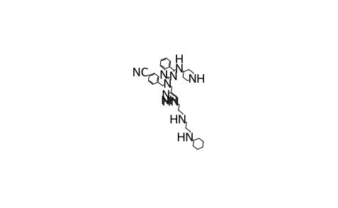 N#Cc1ccc(CN(C/C(=C/NCCCNCCCNC2CCCCC2)N=N)c2nc(NC3CCNCC3)c3ccccc3n2)cc1